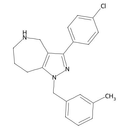 Cc1cccc(Cn2nc(-c3ccc(Cl)cc3)c3c2CCCNC3)c1